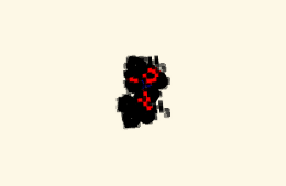 CC(C)(C)c1ccc(-c2ccccc2)c(N(c2ccccc2-c2ccc3c(c2)C(c2ccccc2)(c2ccccc2)c2ccccc2-3)c2ccccc2-c2cccc3c2C(C)(C2CCCCC2)CC=C3)c1